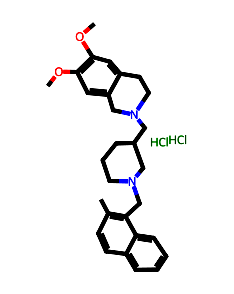 COc1cc2c(cc1OC)CN(CC1CCCN(Cc3c(C)ccc4ccccc34)C1)CC2.Cl.Cl